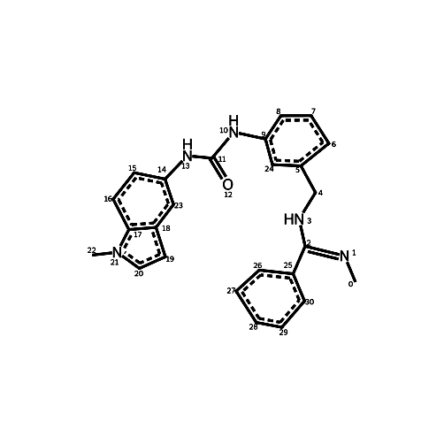 CN=C(NCc1cccc(NC(=O)Nc2ccc3c(ccn3C)c2)c1)c1ccccc1